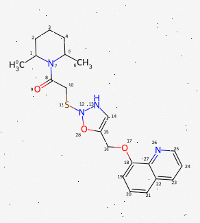 CC1CCCC(C)N1C(=O)CSN1NC=C(COc2cccc3cccnc23)O1